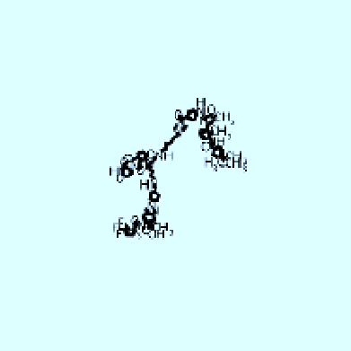 Cc1c(NC(=O)c2ccc(C(C)(C)C)cc2)cccc1-c1cn(C)c(=O)c(Nc2ccc(C(=O)N3CCN(CCCCCCNC(=O)CN(CCCCNC[C@H]4CC[C@H](n5cc6cc(NC(=O)c7cccc(C(F)(F)F)n7)c(C(C)(C)O)cc6n5)CC4)c4cccc5c4C(=O)N(C4CCC(=O)NC4=O)C5=O)CC3)cc2)n1